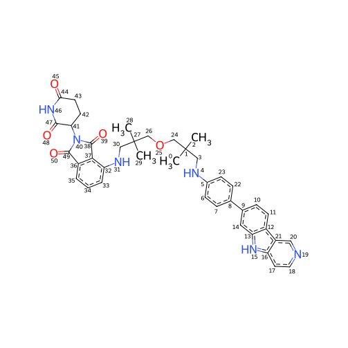 CC(C)(CNc1ccc(-c2ccc3c(c2)[nH]c2ccncc23)cc1)COCC(C)(C)CNc1cccc2c1C(=O)N(C1CCC(=O)NC1=O)C2=O